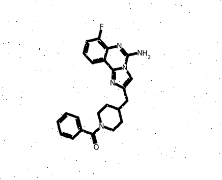 Nc1nc2c(F)cccc2c2nc(CC3CCN(C(=O)c4ccccc4)CC3)cn12